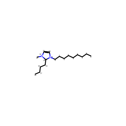 CCCCCCCCCN1C=CN(C)C1CCCC